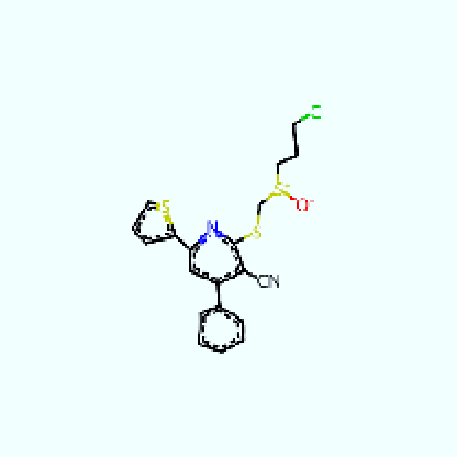 N#Cc1c(-c2ccccc2)cc(-c2cccs2)nc1SC[S+]([O-])CCCCl